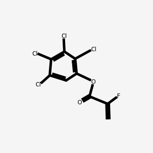 C=C(F)C(=O)Oc1cc(Cl)c(Cl)c(Cl)c1Cl